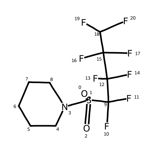 O=S(=O)(N1CCCCC1)C(F)(F)C(F)(F)C(F)(F)C(F)F